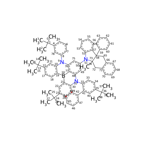 CC(C)(C)c1cccc(N2c3cc(C(C)(C)C)ccc3B3c4cc(C(C)(C)C)ccc4N(c4ccc(C(C)(C)C)cc4-c4ccccc4)c4cc(N5c6ccccc6C6(c7ccccc7)Cc7ccccc7CC56C)cc2c43)c1